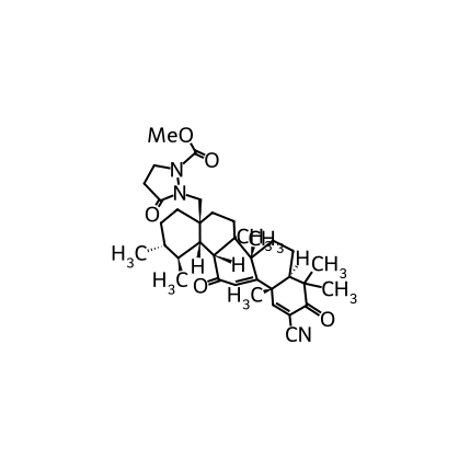 COC(=O)N1CCC(=O)N1C[C@]12CC[C@@H](C)[C@H](C)[C@H]1[C@H]1C(=O)C=C3[C@@]4(C)C=C(C#N)C(=O)C(C)(C)[C@@H]4CC[C@@]3(C)[C@]1(C)CC2